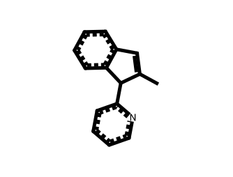 CC1=Cc2ccccc2C1c1ccccn1